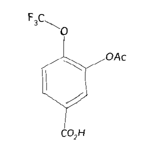 CC(=O)Oc1cc(C(=O)O)ccc1OC(F)(F)F